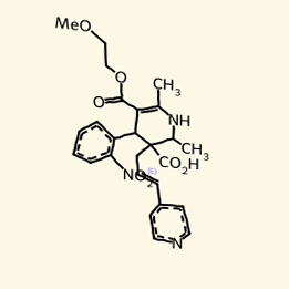 COCCOC(=O)C1=C(C)NC(C)C(C/C=C/c2ccncc2)(C(=O)O)C1c1ccccc1[N+](=O)[O-]